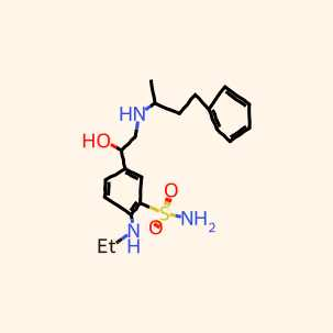 CCNc1ccc(C(O)CNC(C)CCc2ccccc2)cc1S(N)(=O)=O